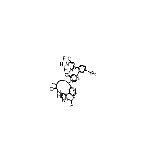 CC1CCCC(n2cnc(-c3cc(C(C)C)ccc3N(N)/C=C(\N)C(F)(F)F)cc2=O)c2cc(ccn2)-c2c(cnn2C(F)F)NC1=O